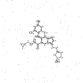 O=C(NOCC1CC1)c1cc2c(ncn2CCN2CCC(O)C2)c(F)c1Nc1ccc(Br)cc1Cl